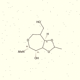 CN[C@@H]1OCC(CO)[C@H]2OC(C)OC2[C@@H]1O